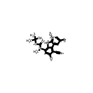 CN(C(=O)OC(C)(C)C)c1cc(Cl)c(C#N)c2c1[nH]c1c2cc(Br)c[n+]1[O-]